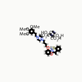 COc1cc(CCN2CCN(CCCCOc3ccccc3[N+]3(C)Sc4ccccc4C(C)C3=O)CC2)cc(OC)c1OC.O=C(O)/C=C\C(=O)O.O=C(O)/C=C\C(=O)O